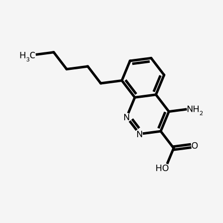 CCCCCc1cccc2c(N)c(C(=O)O)nnc12